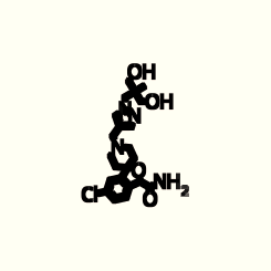 CC(CO)(CO)Cn1cc(CN2CCC3(CC2)OC(C(N)=O)c2ccc(Cl)cc23)cn1